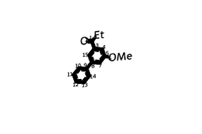 CCC(=O)c1cc(OC)cc(-c2ccccc2)c1